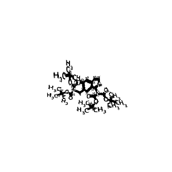 CC(C)(C)OC(=O)N(Cc1cc2c(N(C(=O)OC(C)(C)C)C(=O)OC(C)(C)C)nccc2cc1Cl)C(=O)OC(C)(C)C